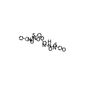 COc1ccc(-c2nc(C(=O)NCc3ccc(COc4cccc(-c5nc(C(=O)N6CCC(c7ccccc7)CC6)cs5)c4OC)cn3)cs2)cc1